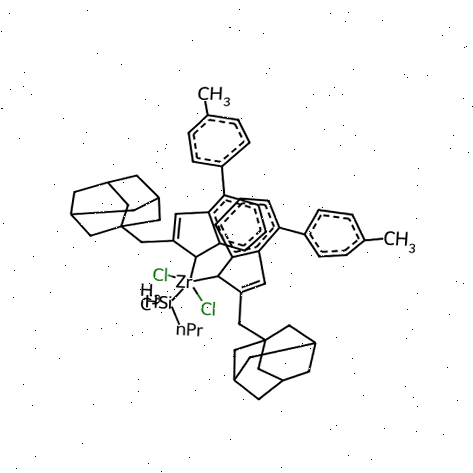 CCC[SiH](C)[Zr]([Cl])([Cl])([CH]1C(CC23CC4CC(CC(C4)C2)C3)=Cc2c(-c3ccc(C)cc3)cccc21)[CH]1C(CC23CC4CC(CC(C4)C2)C3)=Cc2c(-c3ccc(C)cc3)cccc21